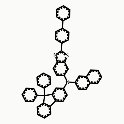 c1ccc(-c2ccc(-c3nc4ccc(N(c5ccc6c(c5)C(c5ccccc5)(c5ccccc5)c5ccccc5-6)c5ccc6ccccc6c5)cc4s3)cc2)cc1